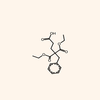 CCOC(=O)C(CCC(=O)O)(Cc1ccccc1)C(=O)OCC